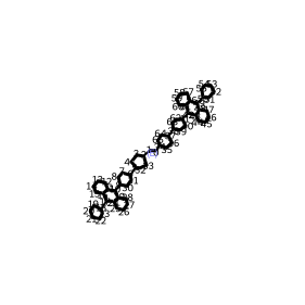 C(=C\c1ccc(-c2ccc(-c3c4ccccc4c(-c4ccccc4)c4ccccc34)cc2)cc1)/c1ccc(-c2ccc(-c3c4ccccc4c(-c4ccccc4)c4ccccc34)cc2)cc1